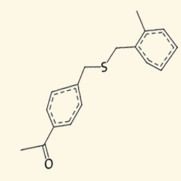 CC(=O)c1ccc(CSCc2ccccc2C)cc1